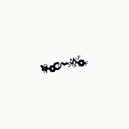 Cc1cnc(-c2ccc3c(c2)CCN(CCCSc2nnc(-c4ccc(F)cc4F)n2C)CC3)o1